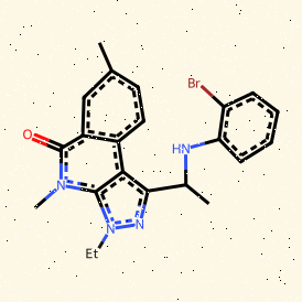 CCn1nc(C(C)Nc2ccccc2Br)c2c3ccc(C)cc3c(=O)n(C)c21